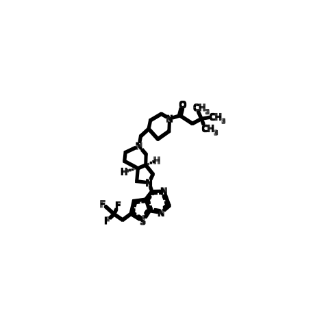 CC(C)(C)CC(=O)N1CCC(CN2CC[C@@H]3CN(c4ncnc5sc(CC(F)(F)F)cc45)C[C@@H]3C2)CC1